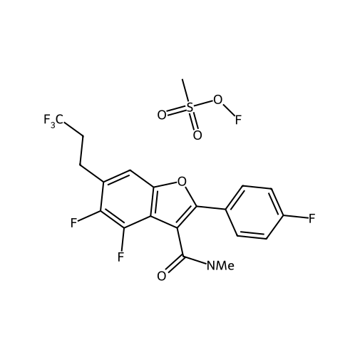 CNC(=O)c1c(-c2ccc(F)cc2)oc2cc(CCC(F)(F)F)c(F)c(F)c12.CS(=O)(=O)OF